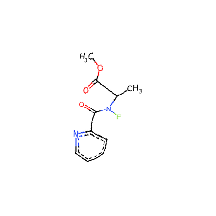 COC(=O)C(C)N(F)C(=O)c1ccccn1